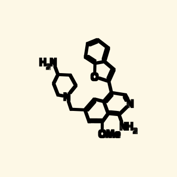 COc1cc(CN2CCC(N)CC2)cc2c(-c3cc4ccccc4o3)cnc(N)c12